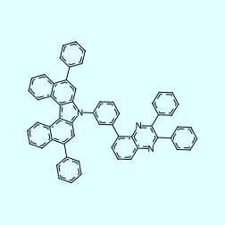 c1ccc(-c2nc3cccc(-c4cccc(-n5c6cc(-c7ccccc7)c7ccccc7c6c6c7ccccc7c(-c7ccccc7)cc65)c4)c3nc2-c2ccccc2)cc1